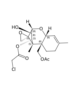 CC(=O)OC[C@]12CCC(C)=C[C@H]1O[C@@H]1[C@H](O)[C@@H](OC(=O)CCl)[C@@]2(C)[C@]12CO2